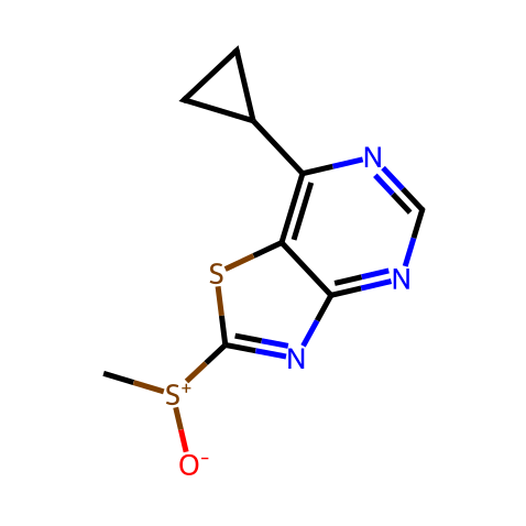 C[S+]([O-])c1nc2ncnc(C3CC3)c2s1